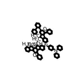 CC1(C)c2cc(N(c3ccc(N(c4ccccc4)c4ccccc4)cc3)c3ccc4c(c3)C(C)(C)c3c5c(c6oc7ccccc7c6c3-4)-c3ccccc3C5(C)C)ccc2-c2c1cc(-c1ccccc1-c1ccccc1)c1oc3ccccc3c21